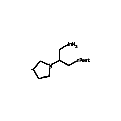 CCCCCCC([CH2][InH2])N1C[CH]CC1